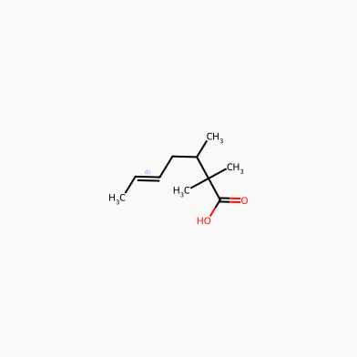 C/C=C/CC(C)C(C)(C)C(=O)O